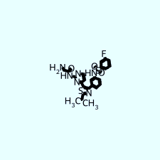 CC(C)c1nc(-c2cccc(NS(=O)(=O)c3cccc(F)c3)c2)c(-c2ccnc(NC(=O)CN)n2)s1